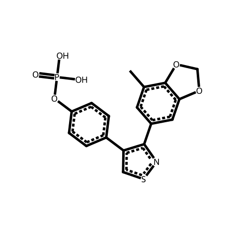 Cc1cc(-c2nscc2-c2ccc(OP(=O)(O)O)cc2)cc2c1OCO2